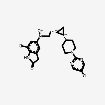 O=C1Cc2cc(N(O)CC[C@@H]3C[C@@H]3C3CCN(c4ncc(Cl)cn4)CC3)cc(Cl)c2N1